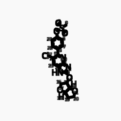 CS(=O)(=O)Oc1ccc(-c2nc3nc(OC4CO[C@@H]5CCO[C@H]45)[nH]c3cc2Cl)cc1